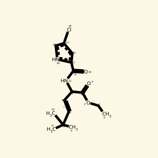 CCOC(=O)C(/C=C/C(C)(C)C)NC(=O)c1cc(Cl)c[nH]1